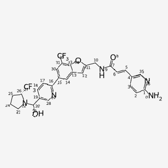 Nc1ccc(/C=C/C(=O)NCc2cc3cc(-c4ccc(C(O)N5CCC[C@@H]5C(F)(F)F)cn4)cc(C(F)(F)F)c3o2)cn1